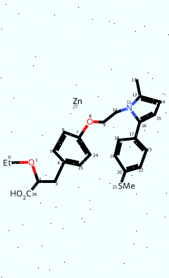 CCOC(Cc1ccc(OCCn2c(C)ccc2-c2ccc(SC)cc2)cc1)C(=O)O.[Zn]